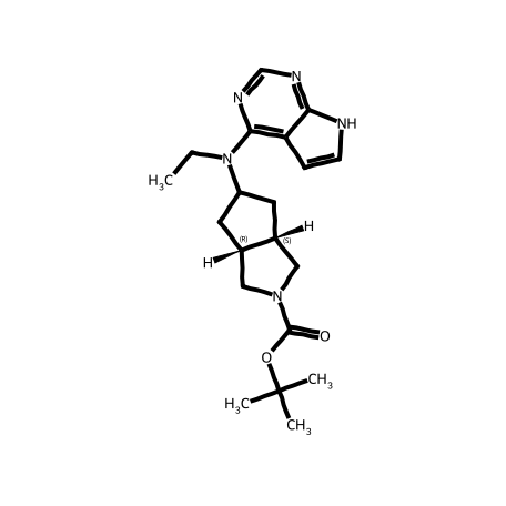 CCN(c1ncnc2[nH]ccc12)C1C[C@@H]2CN(C(=O)OC(C)(C)C)C[C@@H]2C1